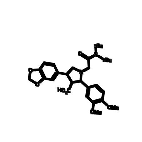 CCCCN(CCCC)C(=O)CN1CC(c2ccc3c(c2)OCO3)C(C(=O)O)C1c1ccc(OC)c(OC)c1